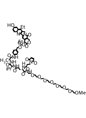 CCc1c2c(nc3ccc(O)cc13)-c1cc3c(c(=O)n1C2)COC(=O)[C@@]3(CC)OC(=O)OCc1ccc(NC(=O)[C@H](C)NC(=O)[C@@H](NC(=O)CC[C@H](NC(=O)CCN2C(=O)C=CC2=O)C(=O)NCCOCCOCCOCCOCCOCCOCCOCCOC)C(C)C)cc1